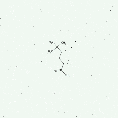 CC(=O)CC[CH]C(C)(C)C